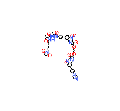 COc1c(OCCCOc2cn3c(c2OC)C=[N+]([O-])C2=CC=C(c4ccc(N5CCN(C)CC5)cc4)CC2C3)cn2c1C=[N+]([O-])C1=CC=C(c3ccc(NC(=O)C(C)NC(=O)C(NC(=O)CCCCCN4C(=O)C=CC4=O)C(C)C)cc3)CC1C2